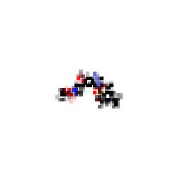 COc1cc2nc(C)nc(OS(=O)(=O)c3c(C(C)C)cc(C(C)C)cc3C(C)C)c2cc1C1=CCN(C(=O)OC(C)(C)C)CC1